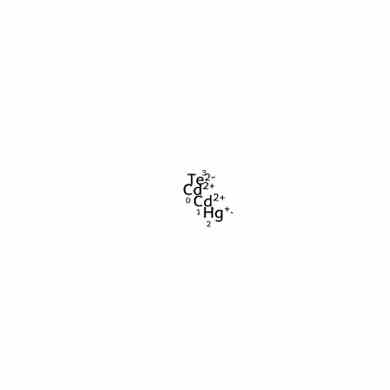 [Cd+2].[Cd+2].[Hg+].[Te-2]